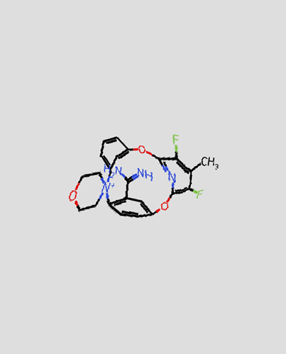 Cc1c(F)c2nc(c1F)Oc1ccc(c(C(=N)N)c1)[N+]1(CCOCC1)c1cccc(c1)O2